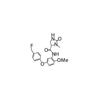 COc1ccc(Oc2ccc(CF)cc2)cc1NC(=O)C1CNC(=O)N1C